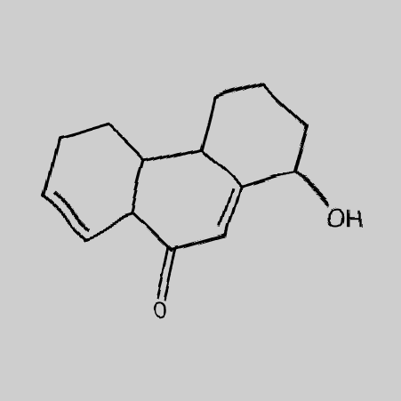 O=C1C=C2C(O)CCCC2C2CCC=CC12